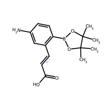 CC1(C)OB(c2ccc(N)cc2/C=C/C(=O)O)OC1(C)C